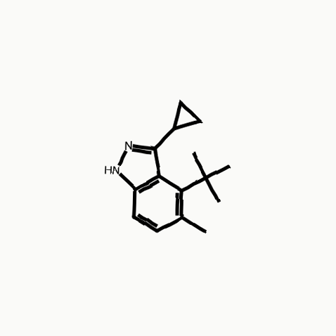 Cc1ccc2[nH]nc(C3CC3)c2c1C(C)(C)C